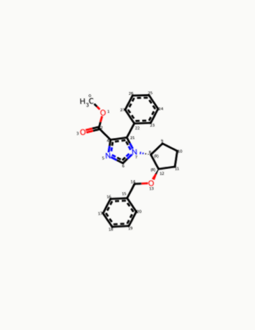 COC(=O)c1ncn([C@@H]2CCC[C@H]2OCc2ccccc2)c1-c1ccccc1